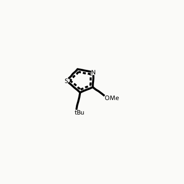 COc1ncsc1C(C)(C)C